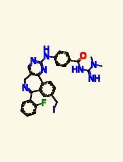 CN(C)C(=N)NC(=O)c1ccc(Nc2ncc3c(n2)-c2ccc(CI)cc2C(c2ccccc2F)=NC3)cc1